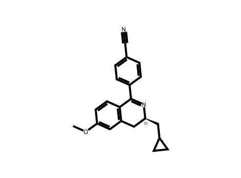 COc1ccc2c(c1)C[C@H](CC1CC1)N=C2c1ccc(C#N)cc1